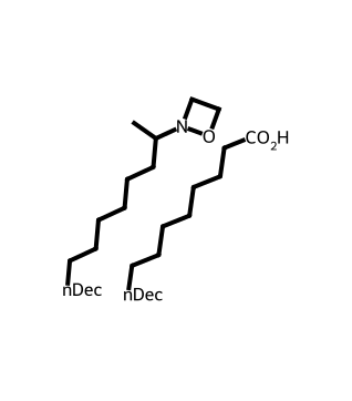 CCCCCCCCCCCCCCCCC(C)N1CCO1.CCCCCCCCCCCCCCCCCC(=O)O